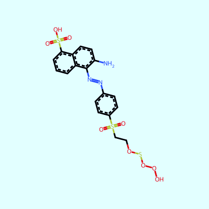 Nc1ccc2c(S(=O)(=O)O)cccc2c1/N=N/c1ccc(S(=O)(=O)CCOSOOO)cc1